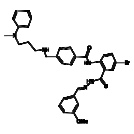 COc1cccc(C=NNC(=O)c2cc(Br)ccc2NC(=O)c2ccc(CNCCCN(C)c3ccccc3)cc2)c1